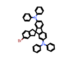 Brc1ccc2c(c1)CC1(C2)c2cc(N(c3ccccc3)c3ccccc3)ccc2-c2ccc(N(c3ccccc3)c3ccccc3)cc21